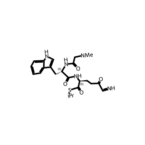 CNCC(=O)N[C@@H](Cc1c[nH]c2ccccc12)C(=O)N[C@@H](CCC(=O)C=N)C(=O)SC(C)C